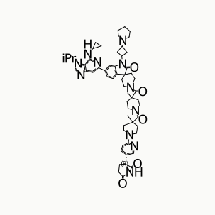 CC(C)n1cnc2cc(-c3ccc4c(c3)N(C3CC(N5CCCCC5)C3)C(=O)C43CCN(C(=O)C4(C)CCN(C(=O)C5(C)CCN(c6ccc([C@H]7CCC(=O)NC7=O)cn6)CC5)CC4)CC3)nc(NC3CC3)c21